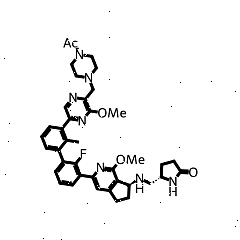 COc1nc(-c2cccc(-c3cccc(-c4cc5c(c(OC)n4)[C@@H](NC[C@@H]4CCC(=O)N4)CC5)c3F)c2C)cnc1CN1CCN(C(C)=O)CC1